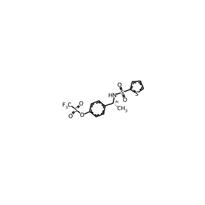 C[C@@H](NS(=O)(=O)c1cccs1)c1ccc(OS(=O)(=O)C(F)(F)F)cc1